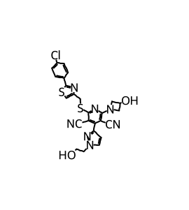 N#Cc1c(SCc2csc(-c3ccc(Cl)cc3)n2)nc(N2CC(O)C2)c(C#N)c1-c1ccn(CCO)n1